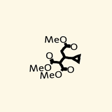 COC(=O)CC(C1CC1)C(C(=O)OC)C(=O)OC